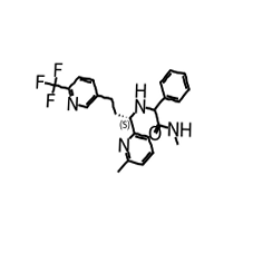 CNC(=O)C(N[C@@H](CCc1ccc(C(F)(F)F)nc1)c1cccc(C)n1)c1ccccc1